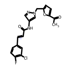 CC(=O)c1ccc(Cn2cc(NC(=O)/C=C/c3ccc(F)c(Cl)c3)cn2)o1